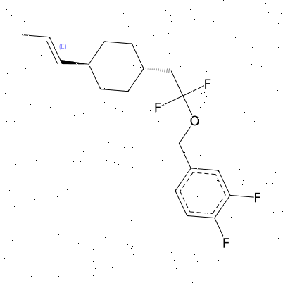 C/C=C/[C@H]1CC[C@H](CC(F)(F)OCc2ccc(F)c(F)c2)CC1